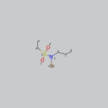 CCCN(Br)S(=O)(=O)CC